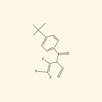 CC(C)(C)c1ccc(C(=O)C(C=O)C(F)=C(F)F)cc1